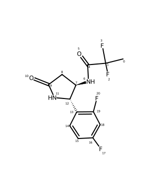 CC(F)(F)C(=O)N[C@@H]1CC(=O)N[C@H]1c1ccc(F)cc1F